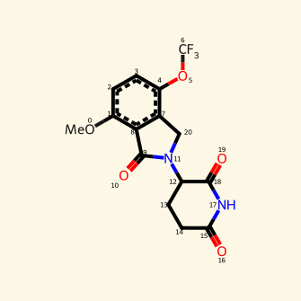 COc1ccc(OC(F)(F)F)c2c1C(=O)N(C1CCC(=O)NC1=O)C2